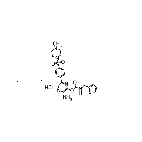 CN1CCN(S(=O)(=O)c2ccc(-c3cnc(N)c(OC(=O)NCc4cccs4)n3)cc2)CC1.Cl